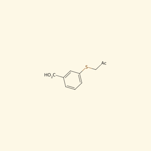 CC(=O)CSc1cccc(C(=O)O)c1